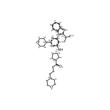 O=C(CCCN1CCOCC1)N1CC[C@H](Nc2cc(-n3c(C(F)F)nc4ccccc43)nc(N3CCOCC3)n2)C1